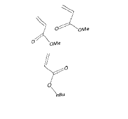 C=CC(=O)OC.C=CC(=O)OC.C=CC(=O)OCCCC